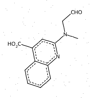 CN(CC=O)c1cc(C(=O)O)c2ccccc2n1